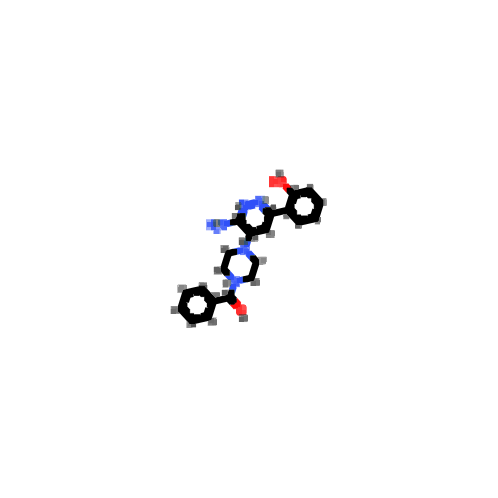 Nc1nnc(-c2ccccc2O)cc1N1CCN(C(=O)c2ccccc2)CC1